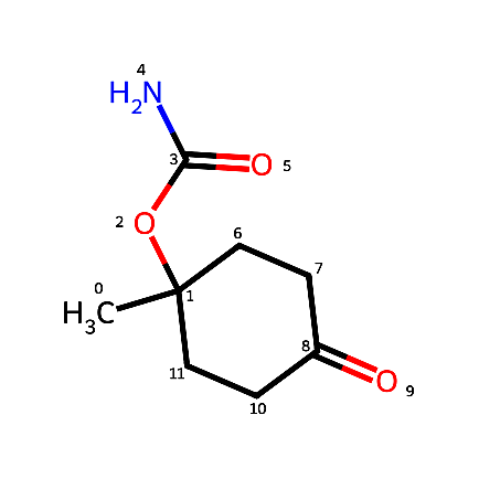 CC1(OC(N)=O)CCC(=O)CC1